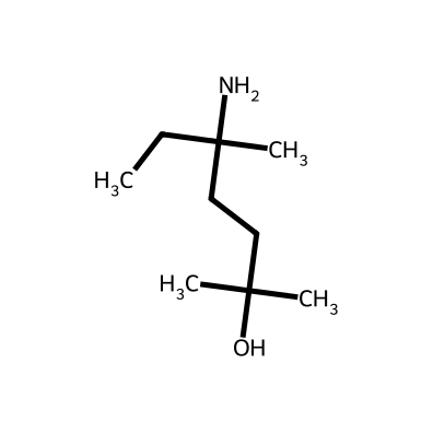 CCC(C)(N)CCC(C)(C)O